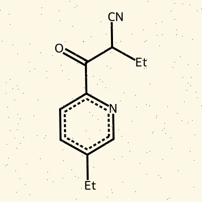 CCc1ccc(C(=O)C(C#N)CC)nc1